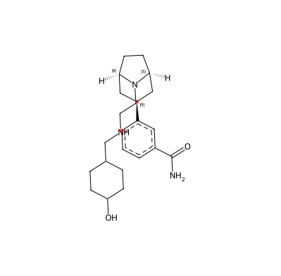 NC(=O)c1cccc([C@H]2C[C@H]3CC[C@@H](C2)N3CCNCC2CCC(O)CC2)c1